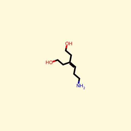 NCCC=C(CCO)CCO